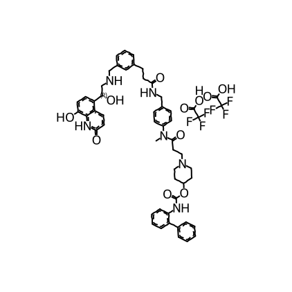 CN(C(=O)CCN1CCC(OC(=O)Nc2ccccc2-c2ccccc2)CC1)c1ccc(CNC(=O)CCc2cccc(CNC[C@H](O)c3ccc(O)c4[nH]c(=O)ccc34)c2)cc1.O=C(O)C(F)(F)F.O=C(O)C(F)(F)F